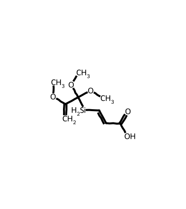 C=C(OC)C(OC)(OC)[SiH2]C=CC(=O)O